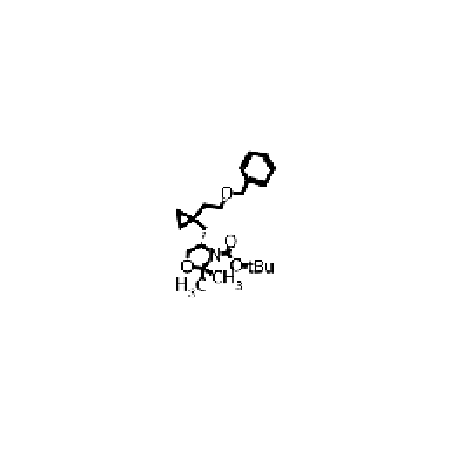 CC(C)(C)OC(=O)N1[C@@H](CC2(CCOCc3ccccc3)CC2)COC1(C)C